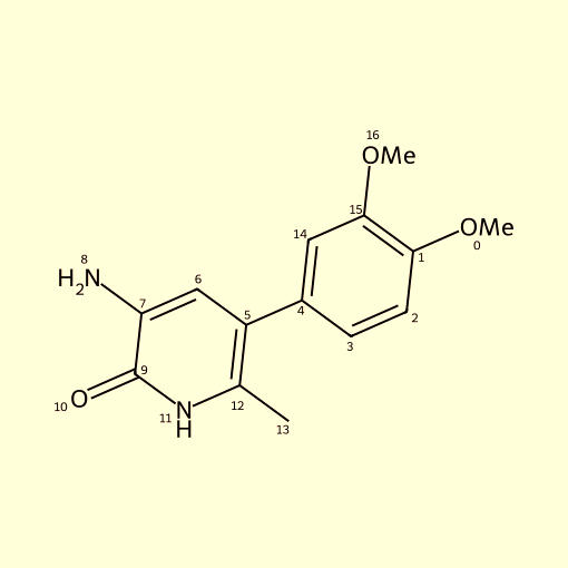 COc1ccc(-c2cc(N)c(=O)[nH]c2C)cc1OC